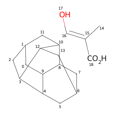 C1C2CC3C4CC5CC(C14)C(C2)C3C5.CC(=CO)C(=O)O